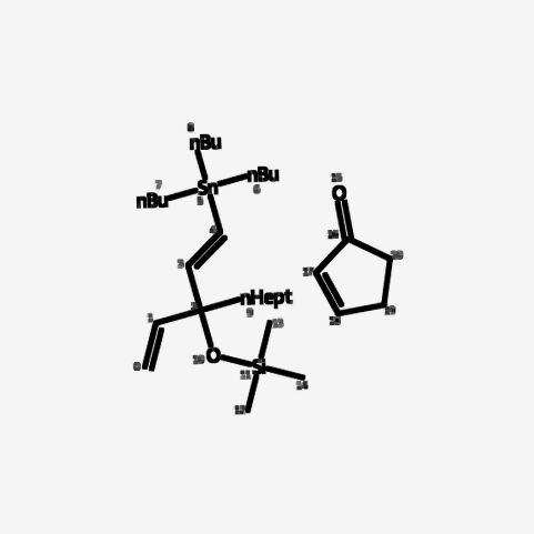 C=CC(C=[CH][Sn]([CH2]CCC)([CH2]CCC)[CH2]CCC)(CCCCCCC)O[Si](C)(C)C.O=C1C=CCC1